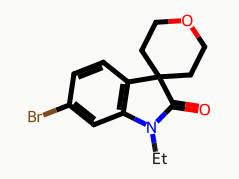 CCN1C(=O)C2(CCOCC2)c2ccc(Br)cc21